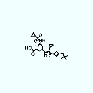 CC(C)(C)C[C@H]1C[C@@H](c2onc([C@@H](CCC(=O)O)CC(=O)NS(=O)(=O)C3CC3)c2C2CC2)C1